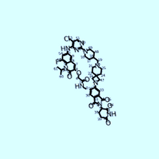 CNC(=O)COc1cc2cc(Nc3nc(N4CCC(CN5CCC6(CC5)CN(c5ccc7c(c5)C(=O)N(C5CCC(=O)NC5=O)C7=O)C6)CC4)ncc3Cl)cc(F)c2n(C(C)C)c1=O